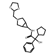 O=C(NC1C2CN(CC3OCCO3)CC21)C(O)(c1ccccc1)C1CCCC1